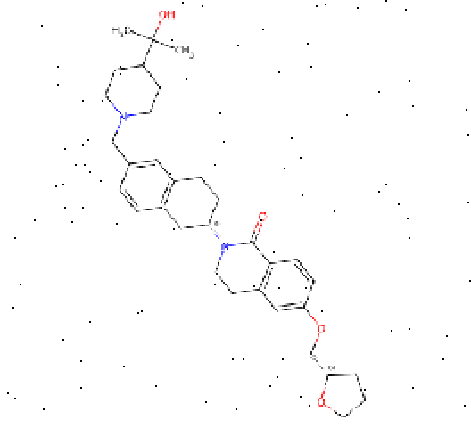 CC(C)(O)C1CCN(Cc2ccc3c(c2)CC[C@H](N2CCc4cc(OC[C@@H]5CCCO5)ccc4C2=O)C3)CC1